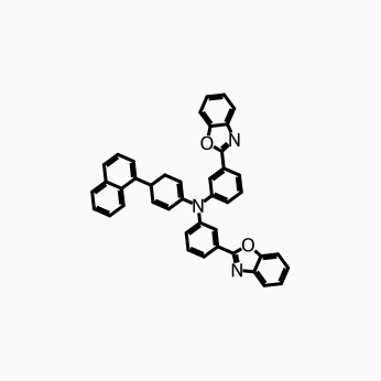 C1=CC(c2cccc3ccccc23)CC=C1N(c1cccc(-c2nc3ccccc3o2)c1)c1cccc(-c2nc3ccccc3o2)c1